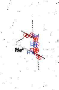 CCCCCCCCCCCCCC(=O)N[C@H](COCC[C@@H](CCCCCCC)OC(=O)CCCCCCCCCCC)COP(=O)([O-])OCCNC(=O)NCCOP(=O)([O-])OC[C@@H](COCC[C@@H](CCCCCCC)OC(=O)CCCCCCCCCCC)NC(=O)CCCCCCCCCCCCC.[Na+].[Na+]